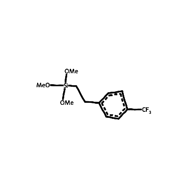 CO[Si](CCc1ccc(C(F)(F)F)cc1)(OC)OC